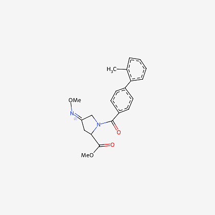 CO/N=C1/CC(C(=O)OC)N(C(=O)c2ccc(-c3ccccc3C)cc2)C1